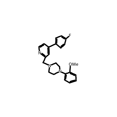 COc1ccccc1N1CCN(Cc2cc(-c3ccc(F)cc3)ccn2)CC1